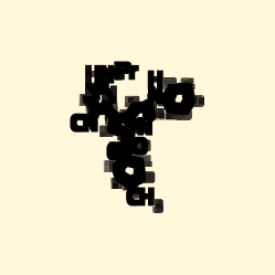 [C-]#[N+]c1cnc(NC(C)C)nc1-c1cn(S(=O)(=O)c2ccc(C)cc2)c2ncc(Nc3ccccc3)cc12